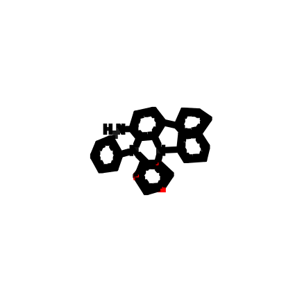 Nc1ccc(-c2ccccc2)c(N(c2ccccc2)c2ccccc2)c1N(c1ccccc1)c1ccccc1